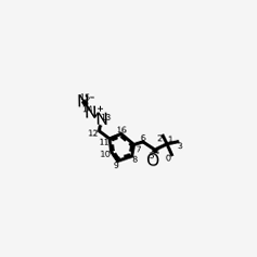 CC(C)(C)C(=O)Cc1cccc(CN=[N+]=[N-])c1